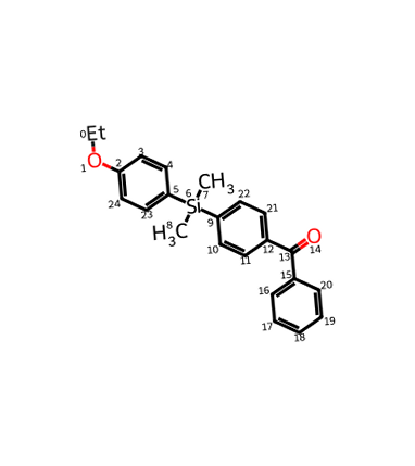 CCOc1ccc([Si](C)(C)c2ccc(C(=O)c3ccccc3)cc2)cc1